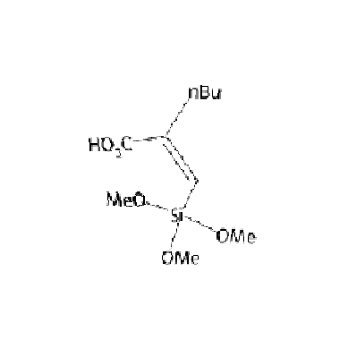 CCCCC(=C[Si](OC)(OC)OC)C(=O)O